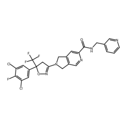 O=C(NCc1cccnc1)c1cc2c(cn1)CN(C1=NOC(c3cc(Cl)c(F)c(Cl)c3)(C(F)(F)F)C1)C2